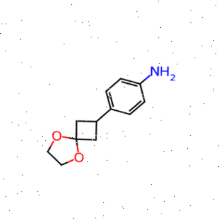 Nc1ccc(C2CC3(C2)OCCO3)cc1